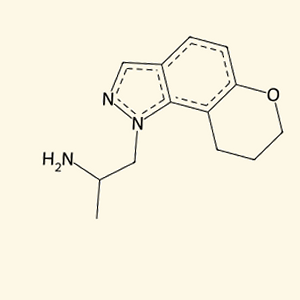 CC(N)Cn1ncc2ccc3c(c21)CCCO3